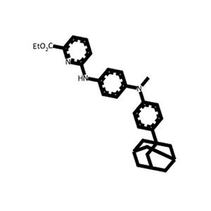 CCOC(=O)c1cccc(Nc2ccc(N(C)c3ccc(C45CC6CC(CC(C6)C4)C5)cc3)cc2)n1